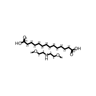 COCCNCCOC.O=C(O)CCCCCCCCCCCCC(=O)O